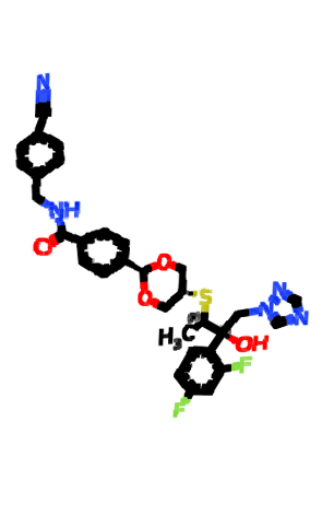 C[C@@H](S[C@H]1CO[C@H](c2ccc(C(=O)NCc3ccc(C#N)cc3)cc2)OC1)[C@](O)(Cn1cncn1)c1ccc(F)cc1F